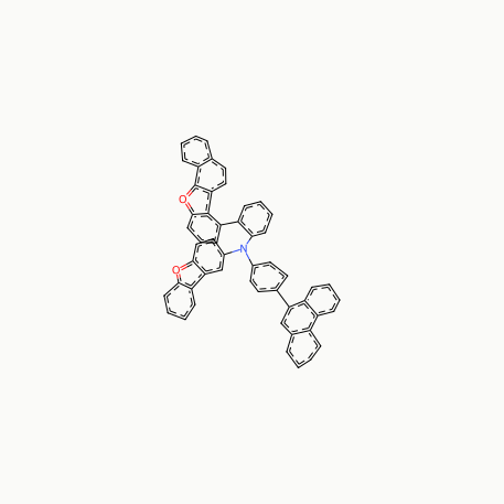 c1ccc(N(c2ccc(-c3cc4ccccc4c4ccccc34)cc2)c2ccc3oc4ccccc4c3c2)c(-c2cccc3oc4c5ccccc5ccc4c23)c1